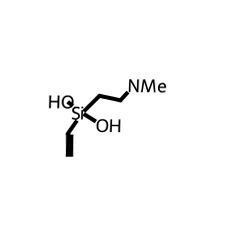 C=C[Si](O)(O)CCNC